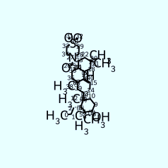 CCC[C@H]1C(C)(C)[C@@H](O)CC[C@]1(C)[C@H]1CC=C2[C@@H]3CC(C)(C)CC[C@]3(C(=O)N3CCS(=O)(=O)CC3)CC[C@@]2(C)C1